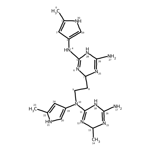 Cc1cc(NC2=NC(CCN(C3=NC(C)N=C(N)N3)c3c[nH]c(C)c3)N=C(N)N2)c[nH]1